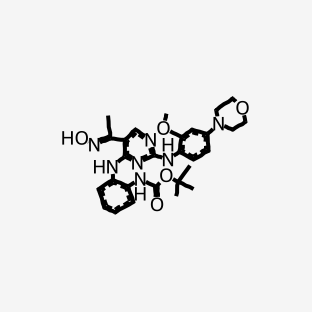 COc1cc(N2CCOCC2)ccc1Nc1ncc(/C(C)=N/O)c(Nc2ccccc2NC(=O)OC(C)(C)C)n1